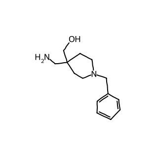 NCC1(CO)CCN(Cc2ccccc2)CC1